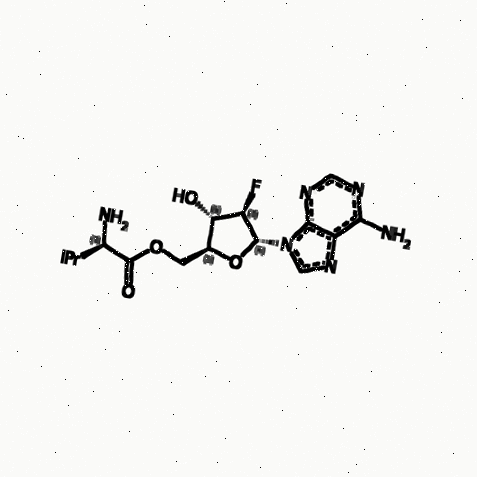 CC(C)[C@@H](N)C(=O)OC[C@@H]1O[C@@H](n2cnc3c(N)ncnc32)[C@H](F)[C@H]1O